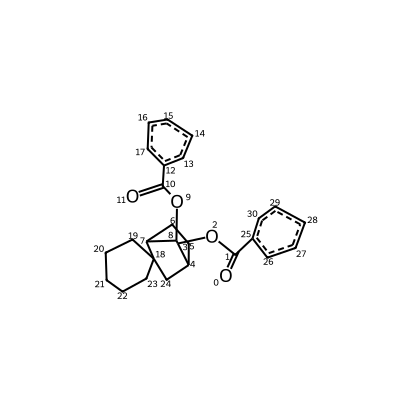 O=C(OC1C2CCC(C1OC(=O)c1ccccc1)C1(CCCCC1)C2)c1ccccc1